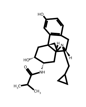 CC(C)C(=O)N[C@H]1C[C@H]2[C@H]3Cc4ccc(O)cc4[C@@]2(CCN3CC2CC2)C[C@H]1O